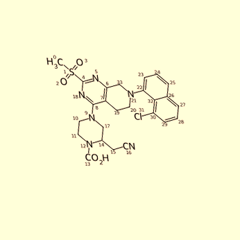 CS(=O)(=O)c1nc2c(c(N3CCN(C(=O)O)C(CC#N)C3)n1)CCN(c1cccc3cccc(Cl)c13)C2